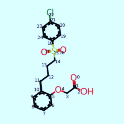 O=C(O)COc1ccccc1CCCCS(=O)(=O)c1ccc(Cl)cc1